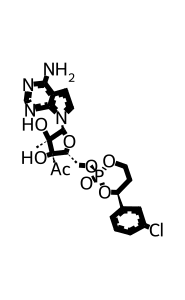 CC(=O)[C@@]1(O)[C@@H](CO[P@@]2(=O)OCC[C@@H](c3cccc(Cl)c3)O2)O[C@@H](n2ccc3c(N)ncnc32)[C@]1(C)O